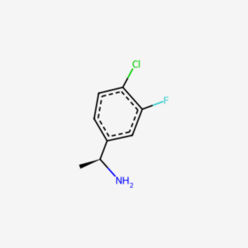 C[C@H](N)c1ccc(Cl)c(F)c1